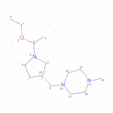 CCOC(C)N1CC[C@@H](CN2CCN(C)CC2)C1